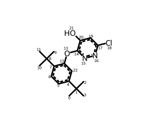 CC(C)(C)c1ccc(C(C)(C)C)c(Oc2nnc(Cl)cc2O)c1